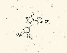 Cc1cc(CC2CNC(=O)N2c2ccc(C(F)(F)F)cc2)ccc1[N+](=O)[O-]